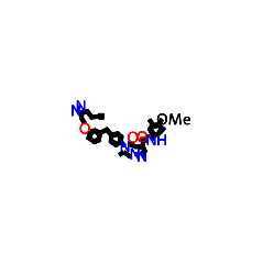 C#CCCC1(CCOc2cccc(Cc3ccc(N4C(=O)c5c(C(=O)Nc6ccc(OC)c(C)c6)cnn5CC4C)cc3)c2)N=N1